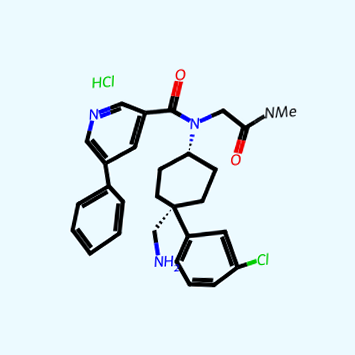 CNC(=O)CN(C(=O)c1cncc(-c2ccccc2)c1)[C@H]1CC[C@](CN)(c2cccc(Cl)c2)CC1.Cl